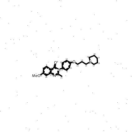 COc1ccc2c(=O)n(-c3ccc(OCCCN4CCCCC4)cc3)c(C)nc2c1